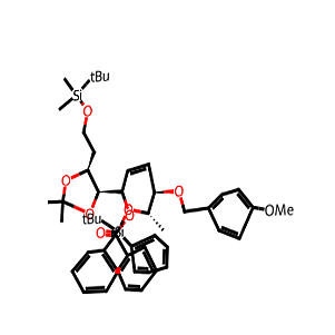 COc1ccc(CO[C@H](/C=C\C(OC(=O)c2ccccc2)[C@H]2OC(C)(C)O[C@H]2CCO[Si](C)(C)C(C)(C)C)[C@H](C)O[Si](c2ccccc2)(c2ccccc2)C(C)(C)C)cc1